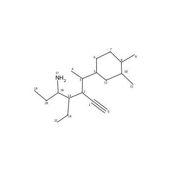 C#CC(C(C)C1CCC(C)C(C)C1)C(CC)C(N)CC